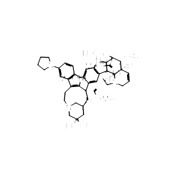 CC[C@]1(O)C[C@H]2CN(CCc3c([nH]c4ccc(N5CCCC5)cc34)[C@@](C(=O)OC)(c3cc4c(cc3OC)N(C)[C@@]35O[C@]3(C(=O)OC)[C@H](OC(C)=O)[C@]3(CC)C=CCN6CC[C@]45[C@@H]63)C2)C1